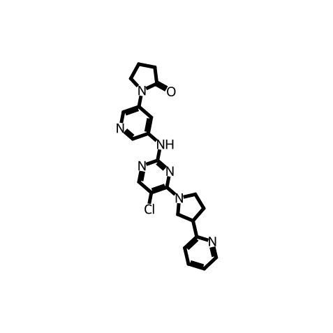 O=C1CCCN1c1cncc(Nc2ncc(Cl)c(N3CCC(c4ccccn4)C3)n2)c1